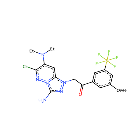 CCN(CC)c1cc2n(nc1Cl)c(N)n[n+]2CC(=O)c1cc(OC)cc(S(F)(F)(F)(F)F)c1